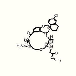 CC[C@@H]1CCCC[C@H](OCC(=O)OC)[C@@H]2CC[C@H]2CN2C[C@@]3(CCCc4cc(Cl)ccc43)COc3ccc(cc32)C(=O)NS1(=O)=O